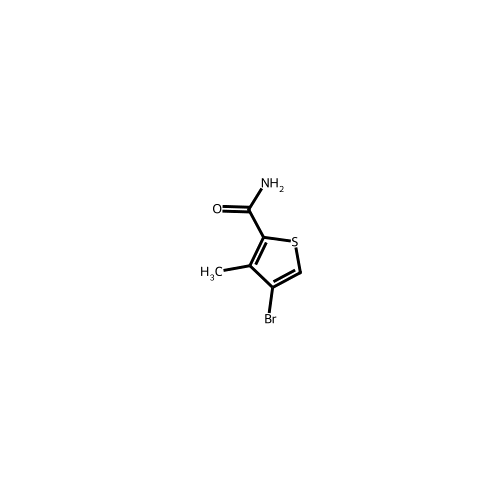 Cc1c(Br)csc1C(N)=O